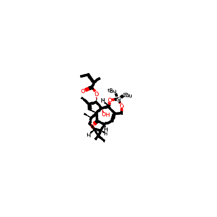 C/C=C(/C)C(=O)O[C@H]1C(C)=C[C@]23C(=O)[C@@H](C=C4CO[Si](C(C)(C)C)(C(C)(C)C)O[C@H]4[C@]12O)[C@H]1[C@@H](C[C@H]3C)C1(C)C